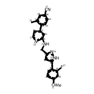 COc1ccc(-c2cc(CNc3cc(-c4ccc(C#N)cc4C)ccn3)n[nH]2)c(F)c1